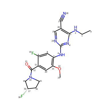 CCNc1nc(Nc2cc(F)c(C(=O)N3CC[C@H](F)C3)cc2OC)ncc1C#N